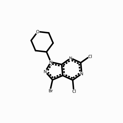 Clc1nc(Cl)c2c(Br)nn(C3CCOCC3)c2n1